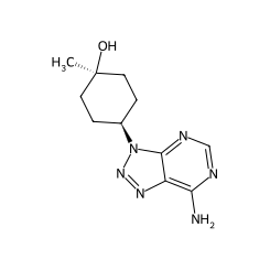 C[C@]1(O)CC[C@@H](n2nnc3c(N)ncnc32)CC1